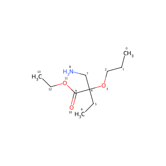 CCCOC(CC)(CN)C(=O)OCC